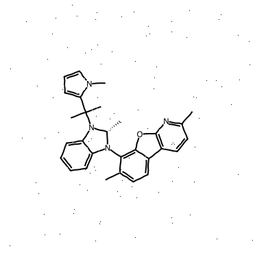 Cc1ccc2c(n1)oc1c(N3c4ccccc4N(C(C)(C)c4cccn4C)[C@@H]3C)c(C)ccc12